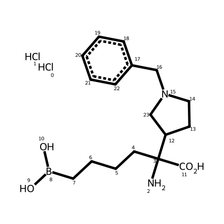 Cl.Cl.NC(CCCCB(O)O)(C(=O)O)C1CCN(Cc2ccccc2)C1